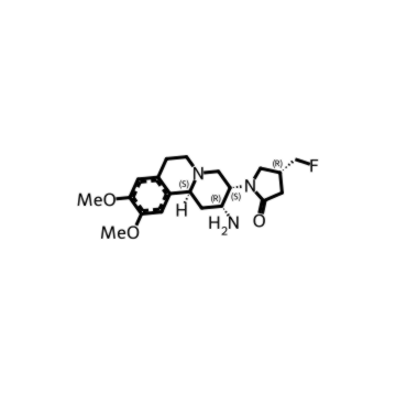 COc1cc2c(cc1OC)[C@@H]1C[C@@H](N)[C@@H](N3C[C@H](CF)CC3=O)CN1CC2